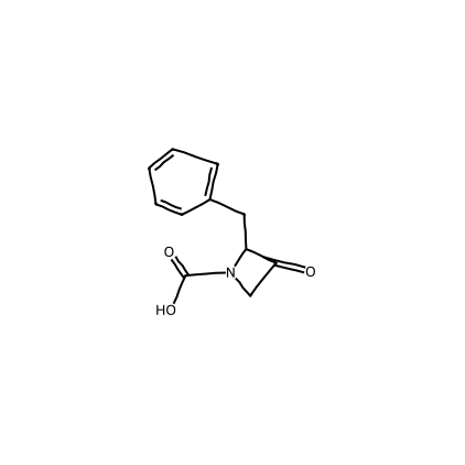 O=C1CN(C(=O)O)C1Cc1ccccc1